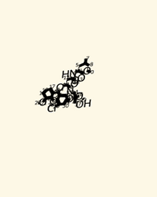 COC(=O)[C@@H](CC(C)C)NC(=O)C[C@H]1O[C@H](c2cccc(OC)c2OC)c2cc(Cl)ccc2N(CC(CO)(OC)OC)C1=O